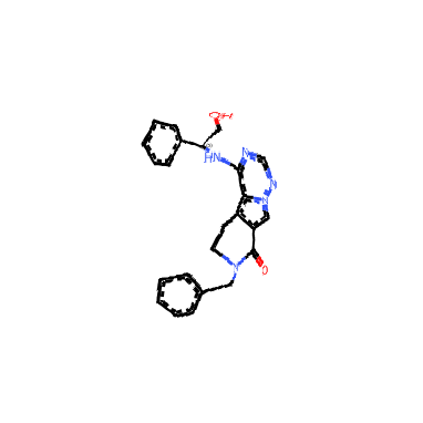 O=C1c2cn3ncnc(N[C@H](CO)c4ccccc4)c3c2CCN1Cc1ccccc1